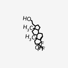 CC12CC[C@@](O)(C(F)(F)F)CC1=CCC1C2CCC2(C)C(CCO)CCC12